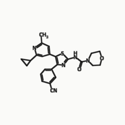 Cc1cc(-c2sc(NC(=O)N3CCOCC3)nc2-c2cccc(C#N)c2)cc(C2CC2)n1